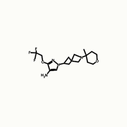 CC1(N2CC3(CC(n4cc(N)c(OCC(F)(F)F)n4)C3)C2)CCOCC1